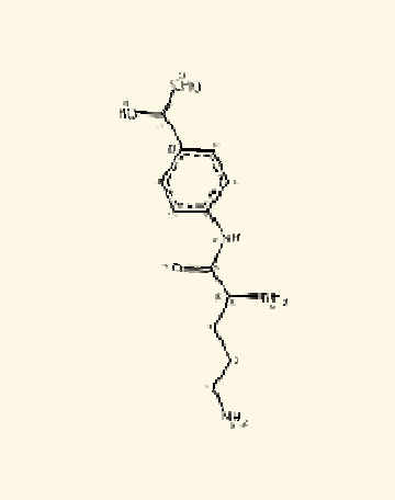 NCCC[C@H](N)C(=O)Nc1ccc(C(O)C=O)cc1